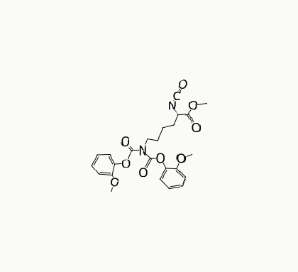 COC(=O)C(CCCCN(C(=O)Oc1ccccc1OC)C(=O)Oc1ccccc1OC)N=C=O